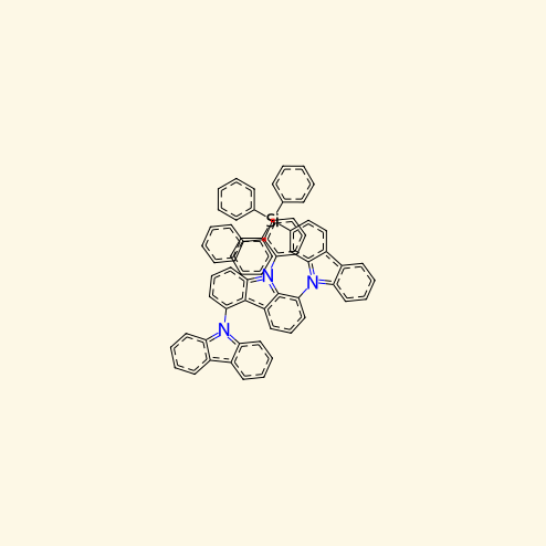 c1ccc(-c2ccccc2-n2c3cccc(-n4c5ccccc5c5ccccc54)c3c3cccc(-n4c5ccccc5c5ccc([Si](c6ccccc6)(c6ccccc6)c6ccccc6)cc54)c32)cc1